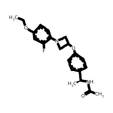 CCOc1ccc(N2CC(Oc3ccc([C@H](C)NC(C)=O)cc3)C2)c(F)c1